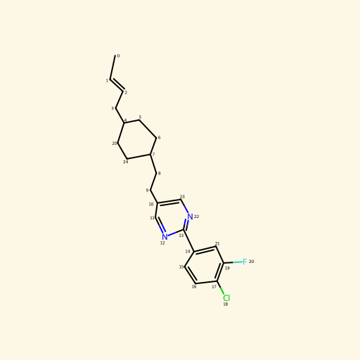 C/C=C/CC1CCC(CCc2cnc(-c3ccc(Cl)c(F)c3)nc2)CC1